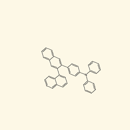 c1ccc(N(c2ccccc2)c2ccc(-c3cc4ccccc4cc3-c3cccc4ccccc34)cc2)cc1